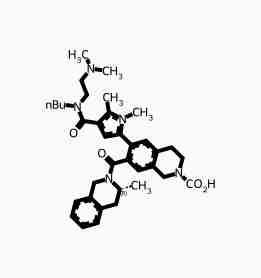 CCCCN(CCN(C)C)C(=O)c1cc(-c2cc3c(cc2C(=O)N2Cc4ccccc4C[C@H]2C)CN(C(=O)O)CC3)n(C)c1C